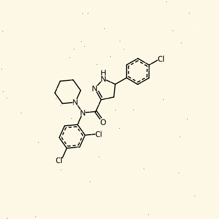 O=C(C1=NNC(c2ccc(Cl)cc2)C1)N(c1ccc(Cl)cc1Cl)N1CCCCC1